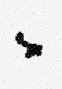 c1ccc(C2(c3ccccc3)c3ccccc3-c3c2ccc2c3c(-c3cccc(-c4ccc(-c5ccc6ccc7cccnc7c6n5)cc4)c3)nc3ccccc32)cc1